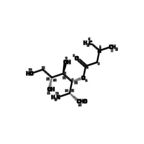 CN(C)CC(=O)O[C@@H]([C@H](O)[C@H](O)CO)[C@@H](N)C=O